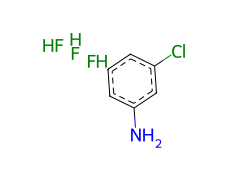 F.F.F.Nc1cccc(Cl)c1